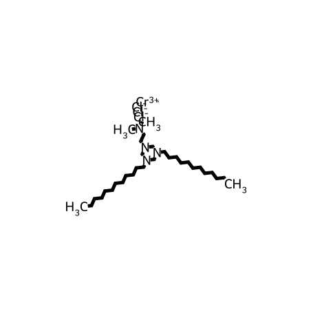 CCCCCCCCCCCCN1CN(CCCCCCCCCCCC)CN(CCN(C)C)C1.[Cl-].[Cl-].[Cl-].[Cr+3]